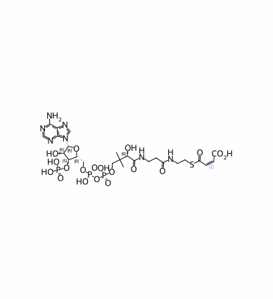 CC(C)(COP(=O)(O)OP(=O)(O)OC[C@H]1O[C@@H](n2cnc3c(N)ncnc32)[C@H](O)[C@@H]1OP(=O)(O)O)[C@@H](O)C(=O)NCCC(=O)NCCSC(=O)/C=C\C(=O)O